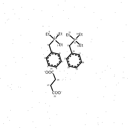 CC[P+](CC)(CC)Cc1ccccc1.CC[P+](CC)(CC)Cc1ccccc1.O=C([O-])CCC(=O)[O-]